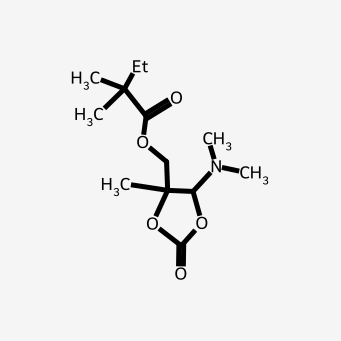 CCC(C)(C)C(=O)OCC1(C)OC(=O)OC1N(C)C